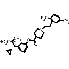 C[C@H](C(=O)O)[C@H](c1cccc(OC(=O)C2CCN(CCc3cc(C(F)(F)F)ccc3C(F)(F)F)CC2)c1)C1CC1